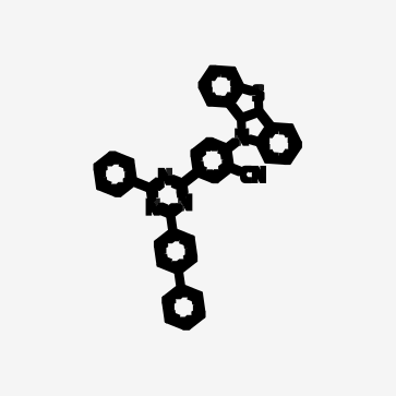 N#Cc1cc(-c2nc(-c3ccccc3)nc(-c3ccc(-c4ccccc4)cc3)n2)ccc1N1c2ccccc2C2Sc3ccccc3C21